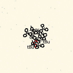 Cc1cc(C)c(N2c3cc4c(cc3B3c5cc6c(cc5Oc5cc(N(c7ccccc7)c7ccccc7)cc2c53)N(c2c(C)cc(C)cc2C)c2cc(N(c3ccccc3)c3ccccc3)cc3c2B6c2ccc5oc6c(C(C)(C)C)cccc6c5c2O3)B2c3ccc5oc6c(C(C)(C)C)cccc6c5c3N(c3ccccc3)c3cc(N(c5ccccc5)c5ccccc5)cc(c32)N4)c(C)c1